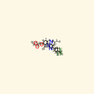 CCCCN(Cc1ccc(OCC(=O)OCC)c(CC)c1)c1ncnc(-c2ccc(C(F)(F)F)cc2)c1C